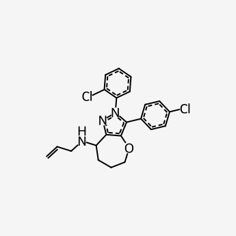 C=CCNC1CCCOc2c1nn(-c1ccccc1Cl)c2-c1ccc(Cl)cc1